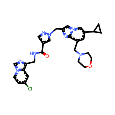 O=C(NCc1ncn2ccc(Cl)cc12)c1cnn(Cc2cn3cc(C4CC4)cc(CN4CCOCC4)c3n2)c1